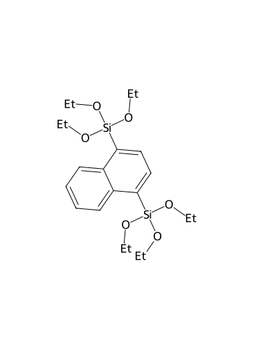 CCO[Si](OCC)(OCC)c1ccc([Si](OCC)(OCC)OCC)c2ccccc12